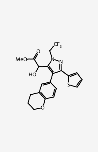 COC(=O)C(O)c1c(-c2ccc3c(c2)CCCO3)c(-c2cccs2)nn1CC(F)(F)F